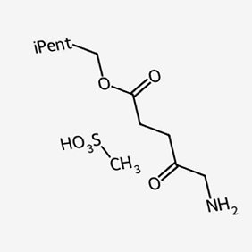 CCCC(C)COC(=O)CCC(=O)CN.CS(=O)(=O)O